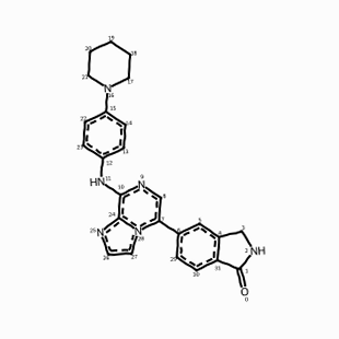 O=C1NCc2cc(-c3cnc(Nc4ccc(N5CCCCC5)cc4)c4nccn34)ccc21